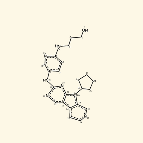 OCCCNc1ccc(Nc2ncc3c4ccncc4n(C4CCCC4)c3n2)nn1